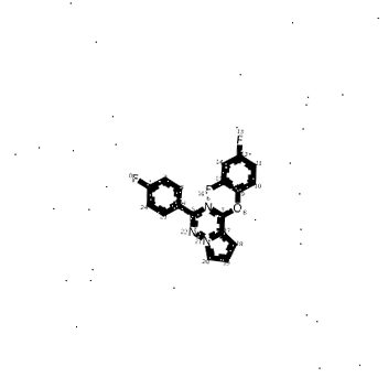 Fc1ccc(-c2nc(Oc3ccc(F)cc3F)c3cccn3n2)cc1